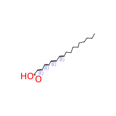 CCCCCCCCC/C=C/C=C/C=C/C=C/C(=O)O